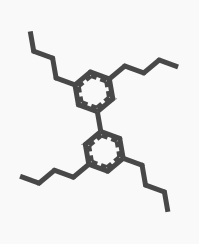 CCCCc1[c]c(-c2[c]c(CCCC)cc(CCCC)c2)cc(CCCC)c1